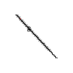 CCCCCCCCCCCCCCCCCCCCCCCCCCCCCCCCCCCCCC(=O)OCCCCCCCCCCCCCCCCC